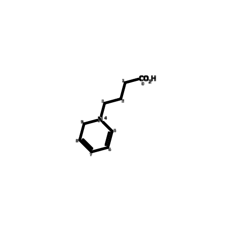 O=C(O)CCCN1C=CC=CC1